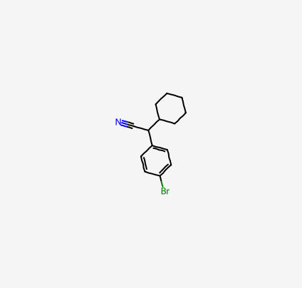 N#CC(c1ccc(Br)cc1)C1CCCCC1